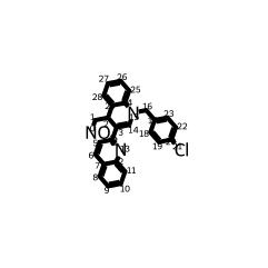 O=[N+]([O-])CC1C(c2ccc3ccccc3n2)=CN(Cc2ccc(Cl)cc2)c2ccccc21